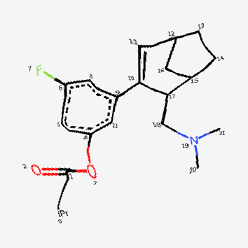 CC(C)C(=O)Oc1cc(F)cc(C2=CC3CCC(C3)C2CN(C)C)c1